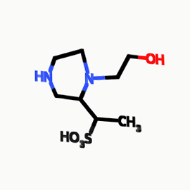 CC(C1CNCCN1CCO)S(=O)(=O)O